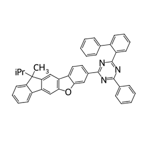 CC(C)C1(C)c2ccccc2-c2cc3oc4cc(-c5nc(-c6ccccc6)nc(-c6ccccc6-c6ccccc6)n5)ccc4c3cc21